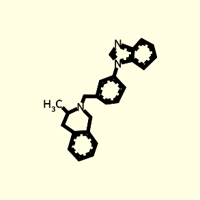 CC1Cc2ccccc2CN1Cc1cccc(-n2cnc3ccccc32)c1